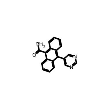 BC(=O)c1c2ccccc2c(-c2cncnc2)c2ccccc12